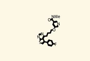 CNC(=O)c1cncc(OCCCCc2ncnc3scc(-c4ccc(F)cc4)c23)c1